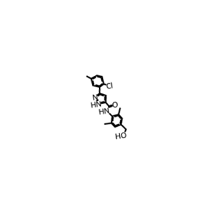 Cc1ccc(Cl)c(-c2cc(C(=O)Nc3c(C)cc(CO)cc3C)[nH]n2)c1